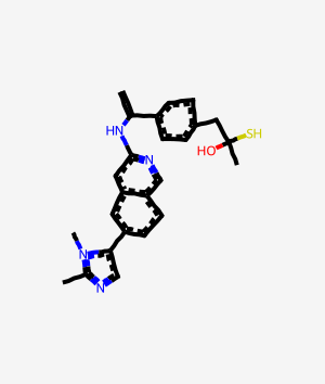 C=C(Nc1cc2cc(-c3cnc(C)n3C)ccc2cn1)c1ccc(CC(C)(O)S)cc1